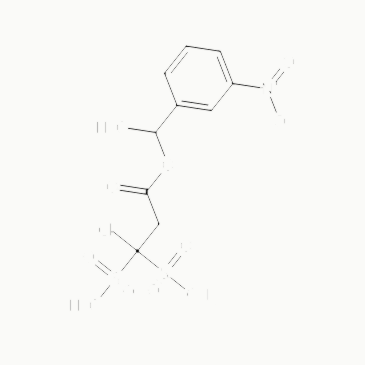 CC(OC(=O)CC(Cl)(S(C)(=O)=O)S(C)(=O)=O)c1cccc([N+](=O)[O-])c1